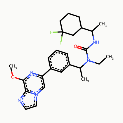 CCN(C(=O)NC(C)C1CCCC(F)(F)C1)C(C)c1cccc(-c2cn3ccnc3c(OC)n2)c1